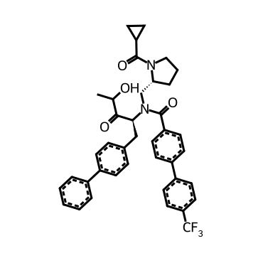 CC(O)C(=O)[C@H](Cc1ccc(-c2ccccc2)cc1)N(C[C@H]1CCCN1C(=O)C1CC1)C(=O)c1ccc(-c2ccc(C(F)(F)F)cc2)cc1